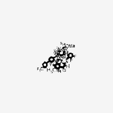 [2H]c1c(C)c([2H])c2c(=O)c([2H])c(SCc3cccc(F)c3F)n(CC(=O)N(Cc3ccc(-c4ccc(C(F)(F)F)cc4)cc3)C3([2H])C([2H])([2H])C([2H])([2H])N(CC([2H])([2H])OC)C([2H])([2H])C3([2H])[2H])c2c1[2H]